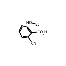 CCO.N#Cc1ccccc1C(=O)O